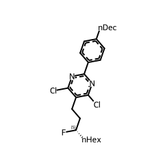 CCCCCCCCCCc1ccc(-c2nc(Cl)c(CC[C@@H](F)CCCCCC)c(Cl)n2)cc1